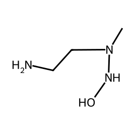 CN(CCN)NO